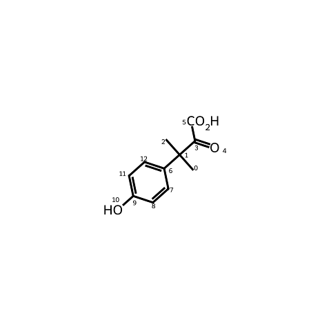 CC(C)(C(=O)C(=O)O)c1ccc(O)cc1